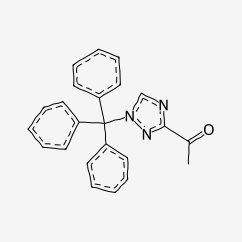 CC(=O)c1ncn(C(c2ccccc2)(c2ccccc2)c2ccccc2)n1